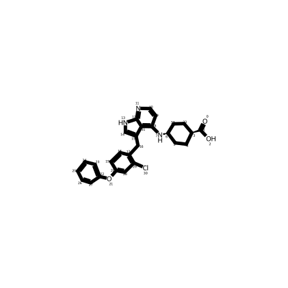 O=C(O)[C@H]1CC[C@H](Nc2ccnc3[nH]cc(Cc4ccc(Oc5ccccc5)cc4Cl)c23)CC1